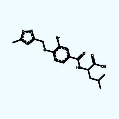 Cc1cc(COc2ccc(C(=O)NC(CC(C)C)C(=O)O)cc2Br)no1